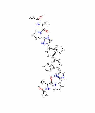 COC(=O)N[C@@H](C)C(=O)N1CCC[C@H]1c1ncc(-c2ccc(-c3ccc(-c4cnc([C@@H]5CCCN5C(=O)[C@H](C)NC(=O)OC)[nH]4)c4c3C3CCC4C3)c3c2C2CCC3C2)[nH]1